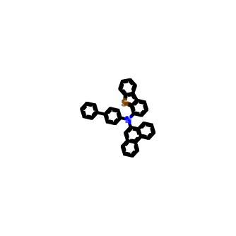 c1ccc(-c2ccc(N(c3cc4ccccc4c4ccccc34)c3cccc4c3sc3ccccc34)cc2)cc1